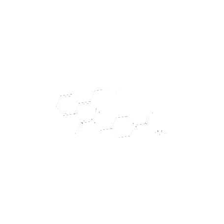 COC(=O)N1CCC(Cn2nc(CC(=O)O)c3ccccc3c2=O)CC1